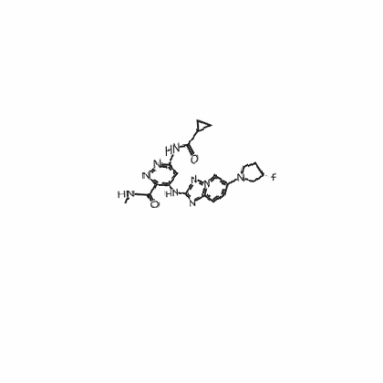 CNC(=O)c1nnc(NC(=O)C2CC2)cc1Nc1nc2ccc(N3CC[C@H](F)C3)cn2n1